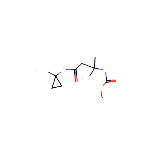 CCOC(=O)C1(NC(=O)CC(C)(C)NC(=O)OC(C)(C)C)CC1